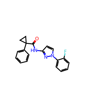 O=C(Nc1ccn(-c2ccccc2F)n1)C1(c2ccccc2)CC1